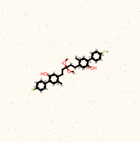 COC(CCc1cc(O)c(-c2ccc(F)cc2)cc1C)(CCc1cc(O)c(-c2ccc(F)cc2)cc1C)OC